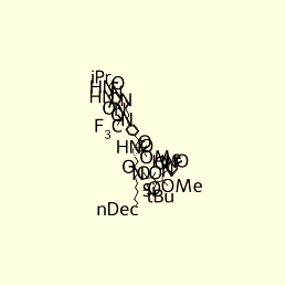 CCCCCCCCCCCCCCCCN(OCC1OC(n2ccc(=O)[nH]c2=O)C(OC)C1O[Si](C)(C)C(C)(C)C)C(=O)CC[C@H](NC(=O)c1ccc(N(Cc2cnc3nc(NC(=O)C(C)C)[nH]c(=O)c3n2)C(=O)C(F)(F)F)cc1)C(=O)OC